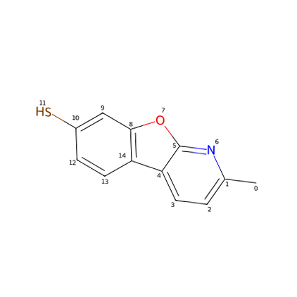 Cc1ccc2c(n1)oc1cc(S)ccc12